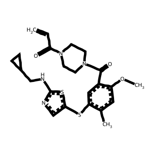 C=CC(=O)N1CCN(C(=O)c2cc(Sc3cnc(NCC4CC4)s3)c(C)cc2OC)CC1